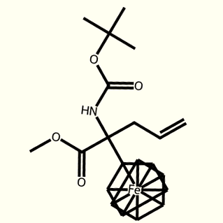 C=CCC(NC(=O)OC(C)(C)C)(C(=O)OC)[C]12[CH]3[CH]4[CH]5[CH]1[Fe]45321678[CH]2[CH]1[CH]6[CH]7[CH]28